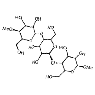 CO[C@H]1OC(CO)[C@H](O[C@@H]2OC(CO)[C@H](O[C@@H]3OC(CO)[C@@H](OC)C(O)C3O)C(O)C2O)C(O)C1O